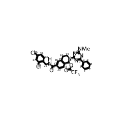 CNc1nc(-c2ccccc2)nc(N2CCc3cc(C(=O)NCc4ccc(Cl)cc4Cl)ccc3C2OC(=O)C(F)(F)F)n1